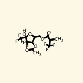 C=C(C(=O)OCC1OC(O)(C(F)(F)F)C(F)(F)C1OC(C)=O)C(F)(F)F